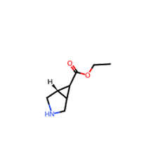 CCOC(=O)C1C2CNC[C@@H]21